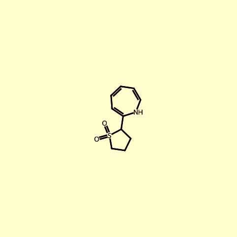 O=S1(=O)CCCC1C1=CC=CC=CN1